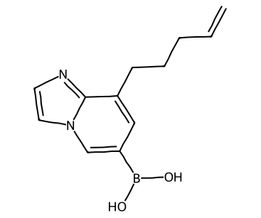 C=CCCCc1cc(B(O)O)cn2ccnc12